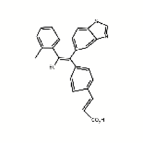 CCC(=C(c1ccc(C=CC(=O)O)cc1)c1ccc2scnc2c1)c1ccccc1C